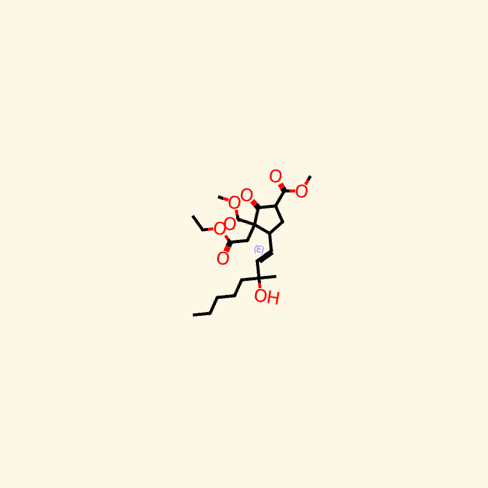 CCCCCC(C)(O)/C=C/C1CC(C(=O)OC)C(=O)C1(CC(=O)OCC)C(=O)OC